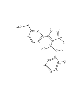 COCc1cccc(-c2onc(C)c2N(C(=O)O)C(C)c2ccccc2Cl)c1